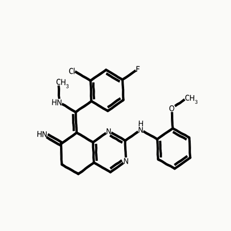 CN/C(=C1\C(=N)CCc2cnc(Nc3ccccc3OC)nc21)c1ccc(F)cc1Cl